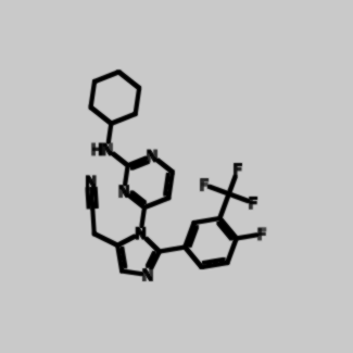 N#CCc1cnc(-c2ccc(F)c(C(F)(F)F)c2)n1-c1ccnc(NC2CCCCC2)n1